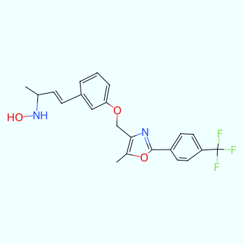 Cc1oc(-c2ccc(C(F)(F)F)cc2)nc1COc1cccc(/C=C/C(C)NO)c1